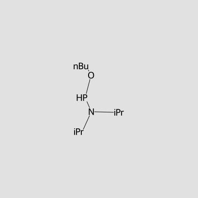 CCCCOPN(C(C)C)C(C)C